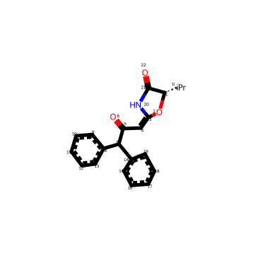 CC(C)[C@@H]1O/C(=C/C(=O)C(c2ccccc2)c2ccccc2)NC1=O